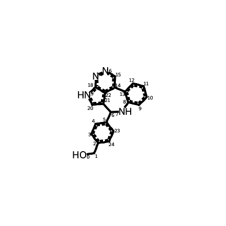 OCc1ccc(C2Nc3ccccc3-c3cnnc4[nH]cc2c34)cc1